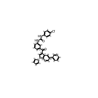 O=C(Nc1ccc(Cl)cc1)Nc1cccc(C(=O)c2cn(-n3cccc3)c3ncc(-c4cccnc4)cc23)c1